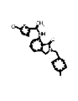 C=C(Nc1cccc2c1C(=O)N(Cc1ccc(I)cc1)C2)c1ccc(Cl)s1